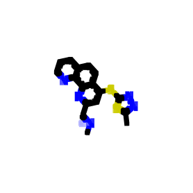 C/N=C/c1cc(Sc2nnc(C)s2)c2ccc3cccnc3c2n1